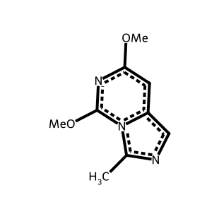 COc1cc2cnc(C)n2c(OC)n1